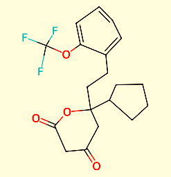 O=C1CC(=O)OC(CCc2ccccc2OC(F)(F)F)(C2CCCC2)C1